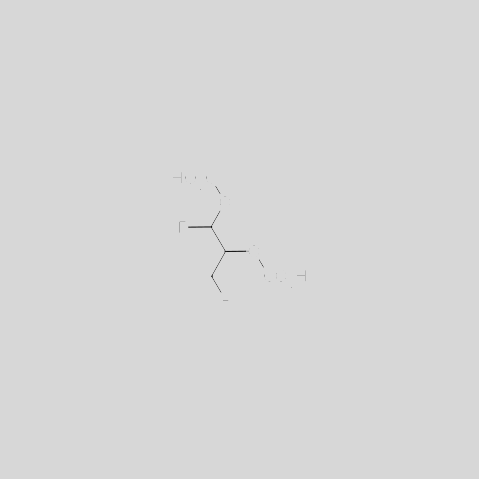 O=C(O)OC(F)C(CF)OC(=O)O